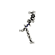 CCN(CC)c1ccc2oc(=O)c(-n3cc(/C(C)=C/C=C(\C)N(CCO)CCOCCOCCOCCO)nn3)cc2c1